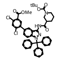 COC(=O)c1cc(-c2ccc3c(c2)c(NC(=O)C2CCCN(C(=O)OC(C)(C)C)C2)nn3C(c2ccccc2)(c2ccccc2)c2ccccc2)c(Cl)cc1Cl